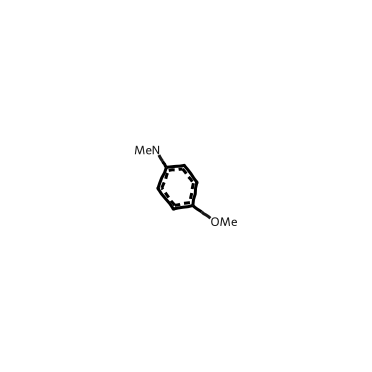 [CH2]Nc1ccc(OC)cc1